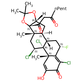 CCCCCC(=O)CC(=O)[C@@]12OC(C)(C)O[C@@H]1C[C@H]1[C@@H]3C[C@H](F)C4=C(Cl)C(=O)C(O)=C[C@]4(C)[C@@]3(Cl)[C@@H](Cl)C[C@@]12C